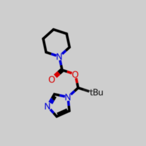 CC(C)(C)C(OC(=O)N1CCCCC1)n1ccnc1